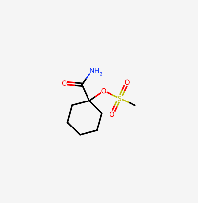 CS(=O)(=O)OC1(C(N)=O)CCCCC1